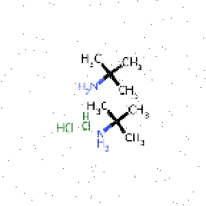 CC(C)(C)N.CC(C)(C)N.Cl.Cl